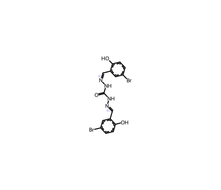 O=C(N/N=C\c1cc(Br)ccc1O)N/N=C/c1cc(Br)ccc1O